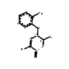 C=N/C(Br)=N\N(Cc1ccccc1Cl)C(C)C